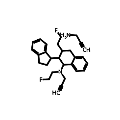 C#CCN.C#CCN(CCF)C1c2ccccc2CC(CCF)C1C1CCc2ccccc21